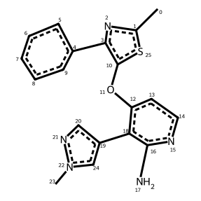 Cc1nc(-c2ccccc2)c(Oc2ccnc(N)c2-c2cnn(C)c2)s1